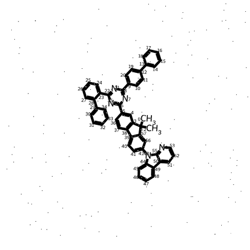 CC1(C)c2cc(-c3nc(-c4ccc(-c5ccccc5)cc4)nc(-c4ccccc4-c4ccccc4)n3)ccc2-c2ccc(-n3c4ccccc4c4cccnc43)cc21